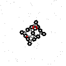 N#Cc1cc(-n2c3cc(-n4c5ccccc5c5ccccc54)ccc3c3ccc(-n4c5ccccc5c5ccccc54)cc32)c(-c2cc(F)cc(F)c2)cc1-n1c2cc(-n3c4ccccc4c4ccccc43)ccc2c2ccc(-n3c4ccccc4c4ccccc43)cc21